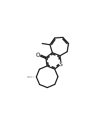 CC1=CC=CCc2sc3c(c(=O)c21)C[C@@H](C)CCCC3